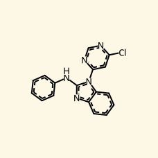 Clc1cc(-n2c(Nc3ccccc3)nc3ccccc32)ncn1